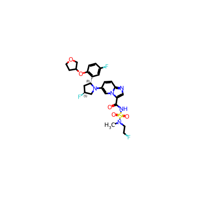 CN(CCF)S(=O)(=O)NC(=O)c1cnc2ccc(N3C[C@@H](F)C[C@@H]3c3cc(F)ccc3OC3CCOC3)cn12